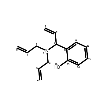 C=CCN(CC=C)C(C=C)c1ccccc1O